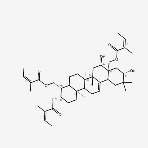 C/C=C(/C)C(=O)OC[C@@H]1C2CC[C@]3(C)C(CC=C4C5CC(C)(C)[C@@H](O)C[C@]5(COC(=O)/C(C)=C\C)[C@H](O)C[C@]43C)[C@@]2(C)CC[C@@H]1OC(=O)/C(C)=C\C